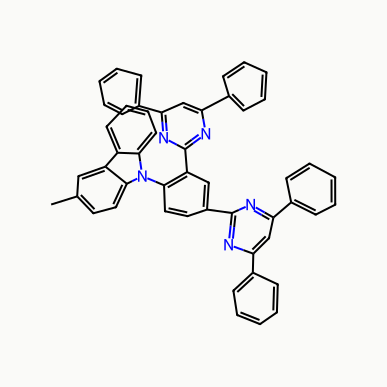 Cc1ccc2c(c1)c1ccccc1n2-c1ccc(-c2nc(-c3ccccc3)cc(-c3ccccc3)n2)cc1-c1nc(-c2ccccc2)cc(-c2ccccc2)n1